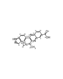 CN(c1nc2cc(C(=O)O)ccc2nc1-c1ccc2[nH]ncc2c1)C1CC1